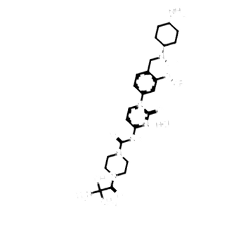 CN(Cc1ccc(-n2ccc(NC(=O)N3CCN(C(=O)C(C)(C)N)CC3)nc2=O)cc1OC(F)(F)F)[C@H]1CC[C@H](N)CC1.Cl